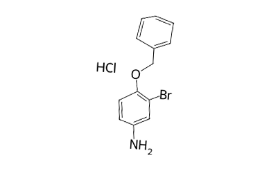 Cl.Nc1ccc(OCc2ccccc2)c(Br)c1